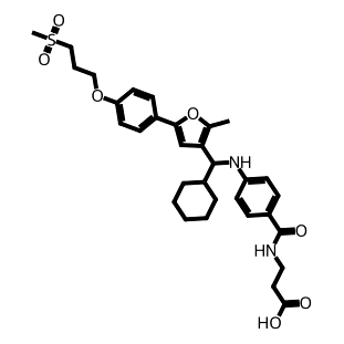 Cc1oc(-c2ccc(OCCCS(C)(=O)=O)cc2)cc1C(Nc1ccc(C(=O)NCCC(=O)O)cc1)C1CCCCC1